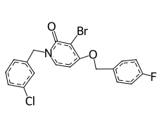 O=c1c(Br)c(OCc2ccc(F)cc2)ccn1Cc1cccc(Cl)c1